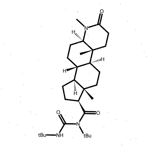 CN1C(=O)CC[C@]2(C)[C@H]3CC[C@]4(C)[C@@H](C(=O)N(C(=O)NC(C)(C)C)C(C)(C)C)CC[C@H]4[C@@H]3CC[C@@H]12